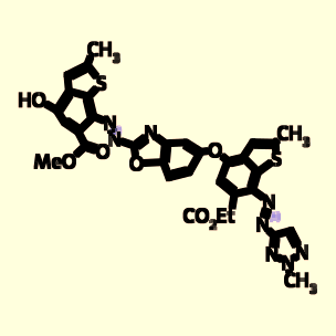 CCOC(=O)c1cc(Oc2ccc3oc(/N=N/c4c(C(=O)OC)cc(O)c5cc(C)sc45)nc3c2)c2cc(C)sc2c1/N=N/c1cnn(C)n1